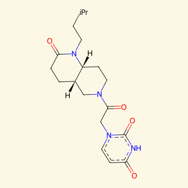 CC(C)CCN1C(=O)CC[C@H]2CN(C(=O)Cn3ccc(=O)[nH]c3=O)CC[C@H]21